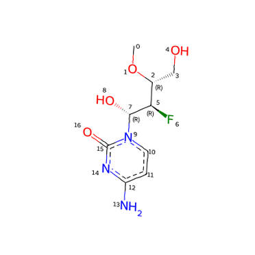 CO[C@H](CO)[C@@H](F)[C@@H](O)n1ccc(N)nc1=O